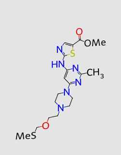 COC(=O)c1cnc(Nc2cc(N3CCN(CCOCSC)CC3)nc(C)n2)s1